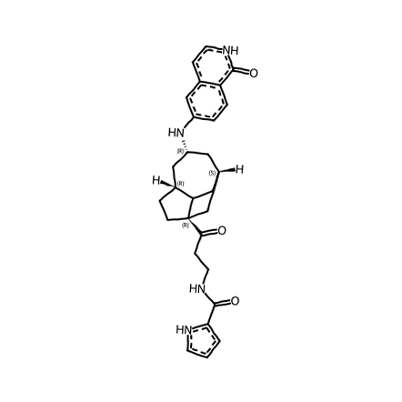 O=C(NCCC(=O)[C@@]12CC[C@@H]3C[C@H](Nc4ccc5c(=O)[nH]ccc5c4)C[C@@H](CC31)C2)c1ccc[nH]1